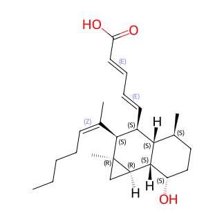 CCCC/C=C(/C)[C@H]1[C@@H](/C=C/C=C/C(=O)O)[C@H]2[C@@H]([C@H]3C[C@]31C)[C@@H](O)CC[C@@H]2C